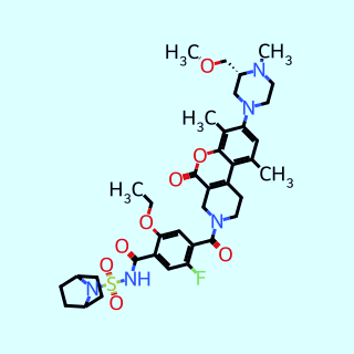 CCOc1cc(C(=O)N2CCc3c(c(=O)oc4c(C)c(N5CCN(C)[C@@H](COC)C5)cc(C)c34)C2)c(F)cc1C(=O)NS(=O)(=O)N1C2CCC1CC2